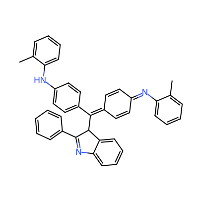 Cc1ccccc1N=C1C=CC(=C(c2ccc(Nc3ccccc3C)cc2)C2C(c3ccccc3)=Nc3ccccc32)C=C1